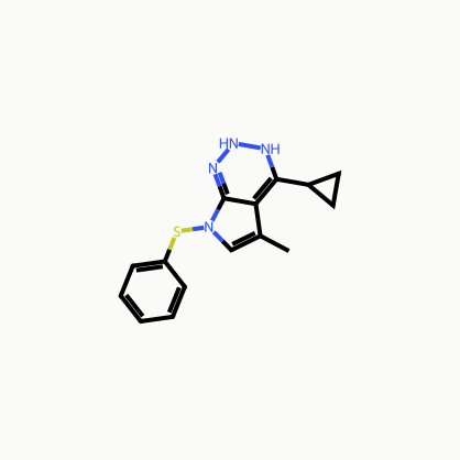 Cc1cn(Sc2ccccc2)c2c1=C(C1CC1)NNN=2